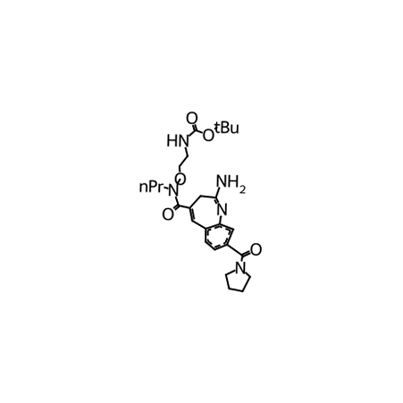 CCCN(OCCNC(=O)OC(C)(C)C)C(=O)C1=Cc2ccc(C(=O)N3CCCC3)cc2N=C(N)C1